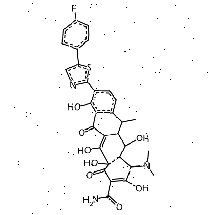 CC1c2ccc(-c3ncc(-c4ccc(F)cc4)s3)c(O)c2C(=O)C2=C(O)C3(O)C(=O)C(C(N)=O)=C(O)C(N(C)C)C3C(O)C21